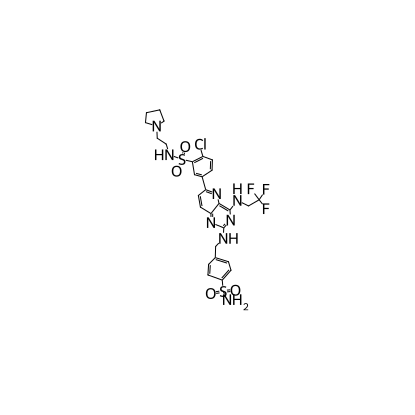 NS(=O)(=O)c1ccc(CNc2nc(NCC(F)(F)F)c3nc(-c4ccc(Cl)c(S(=O)(=O)NCCN5CCCC5)c4)ccc3n2)cc1